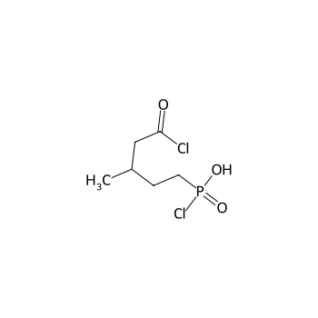 CC(CCP(=O)(O)Cl)CC(=O)Cl